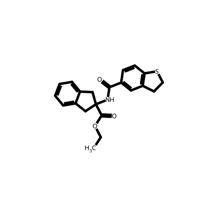 CCOC(=O)C1(NC(=O)c2ccc3c(c2)CCS3)Cc2ccccc2C1